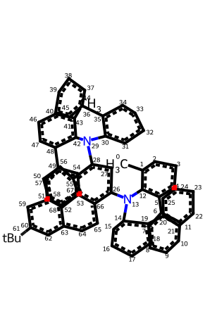 Cc1cccc(-c2ccccc2)c1N(c1ccccc1-c1ccccc1)c1cc(N(c2ccccc2-c2ccccc2)c2c(C)cccc2-c2ccccc2)c2ccc3cc(C(C)(C)C)cc4ccc1c2c43